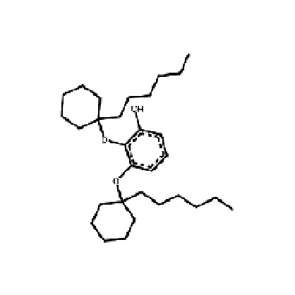 CCCCCCC1(Oc2cccc(O)c2OC2(CCCCCC)CCCCC2)CCCCC1